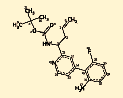 C=CCC(NC(=O)OC(C)(C)C)c1cc(-c2c(N)cccc2F)ccn1